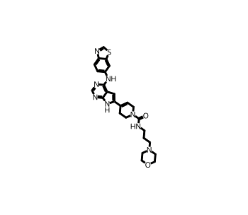 O=C(NCCCN1CCOCC1)N1CC=C(c2cc3c(Nc4ccc5ncsc5c4)ncnc3[nH]2)CC1